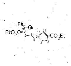 CCOC(=O)c1ccc(CCCC(C(=O)CC)C(=O)OCC)cc1